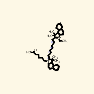 CC[N+]1=C(/C=C/C=C/C=C/C=C2/N(CCCCCC(=O)O)c3ccc4ccccc4c3C2(C)C)C(C)(C)c2c1ccc1ccccc21